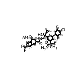 COc1cc(C(=O)NCC(O)(c2cc3c(c(-c4cc(F)c(Cl)cc4F)n2)OC[C@]3(C)C(N)=O)C2CC2)cc2cn(C(F)F)nc12